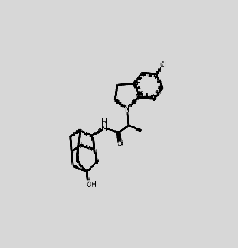 CC(C(=O)NC1C2CC3CC1CC(O)(C3)C2)N1CCc2cc(Cl)ccc21